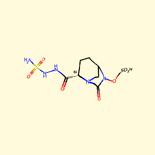 NS(=O)(=O)NNC(=O)[C@@H]1CCC2CN1C(=O)N2OS(=O)(=O)O